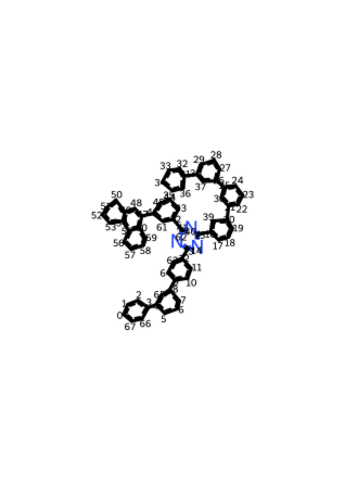 c1ccc(-c2cccc(-c3ccc(-c4nc(-c5cccc(-c6cccc(-c7cccc(-c8ccccc8)c7)c6)c5)nc(-c5cccc(-c6cc7ccccc7c7ccccc67)c5)n4)cc3)c2)cc1